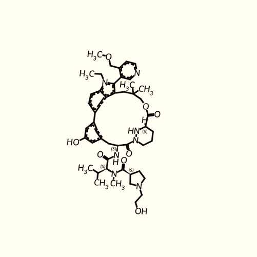 CCn1c(-c2cnccc2COC)c2c3cc(ccc31)-c1cc(O)cc(c1)C[C@H](NC(=O)[C@H](C(C)C)N(C)C(=O)[C@H]1CCN(CCO)C1)C(=O)N1CCC[C@H](N1)C(=O)OCC(C)(C)C2